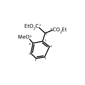 CCOC(=O)C(C(=O)OCC)c1ccccc1OC